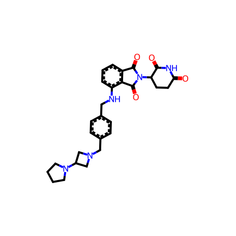 O=C1CCC(N2C(=O)c3cccc(NCc4ccc(CN5CC(N6CCCC6)C5)cc4)c3C2=O)C(=O)N1